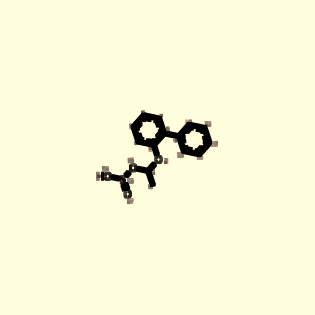 CC(Oc1ccccc1-c1ccccc1)OS(=O)O